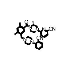 Cc1cc(C)c(C(=O)N2CCN(c3cccc(C#N)n3)C[C@@H]2C)cc1CN1CCN(c2ccccc2C#N)CC1